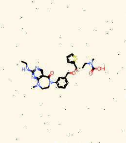 CCNc1ncc2c(n1)N(C)CCN(c1cccc(CO[C@@H](CCN(C)C(=O)O)c3cccs3)c1)C2=O